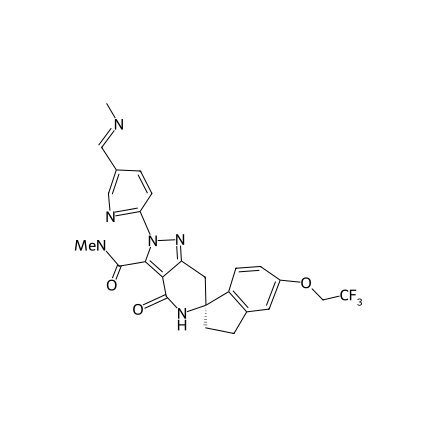 C/N=C/c1ccc(-n2nc3c(c2C(=O)NC)C(=O)N[C@@]2(CCc4cc(OCC(F)(F)F)ccc42)C3)nc1